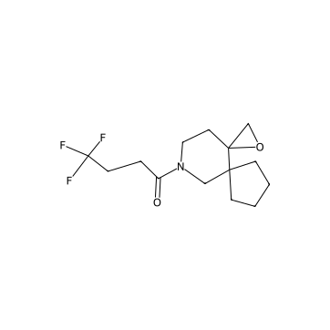 O=C(CCC(F)(F)F)N1CCC2(CO2)C2(CCCC2)C1